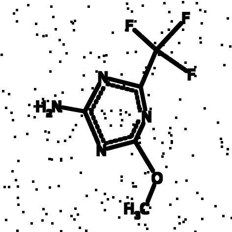 COc1nc(N)nc(C(F)(F)F)n1